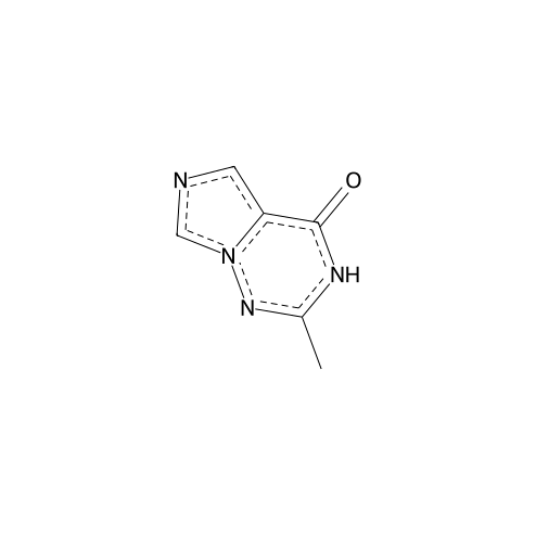 Cc1nn2cncc2c(=O)[nH]1